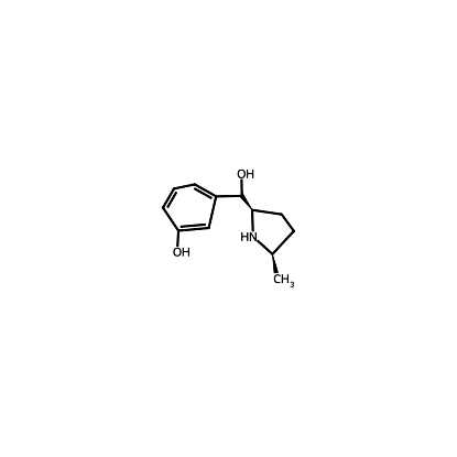 C[C@@H]1CC[C@H](C(O)c2cccc(O)c2)N1